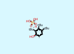 CC(C)(C)c1ccc(O)c(C(C)(C)C)c1C(C)(C)C.O=P(O)(O)O